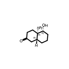 CCC[C@@]12CCC(=O)C[C@H]1CCC[C@H]2O